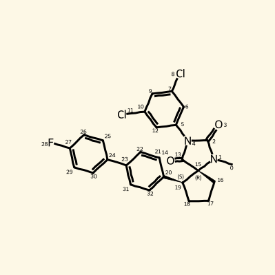 CN1C(=O)N(c2cc(Cl)cc(Cl)c2)C(=O)[C@]12CCC[C@H]2c1ccc(-c2ccc(F)cc2)cc1